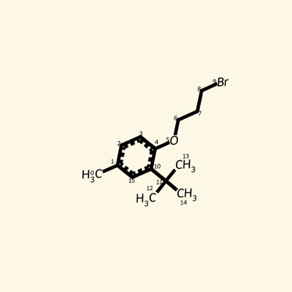 Cc1ccc(OCCCBr)c(C(C)(C)C)c1